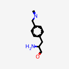 C=NCc1ccc(CC(N)C=O)cc1